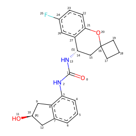 O=C(Nc1cccc2c1C[C@H](O)C2)N[C@H]1CC2(CCC2)Oc2ccc(F)cc21